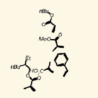 C=C(C)C(=O)O.C=C(C)C(=O)OC.C=C(C)C(=O)OCC(CC)CCCC.C=CC(=O)OCCCC.C=Cc1ccccc1